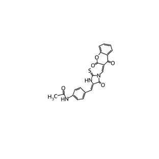 CC(=O)Nc1ccc(C=C2NC(=S)N(C=C3C(=O)Oc4ccccc4C3=O)C2=O)cc1